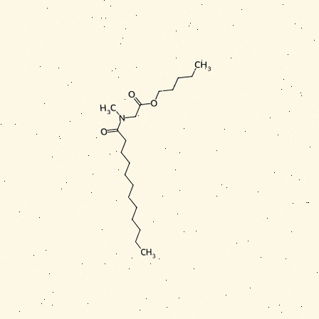 CCCCCCCCCCCC(=O)N(C)CC(=O)OCCCCC